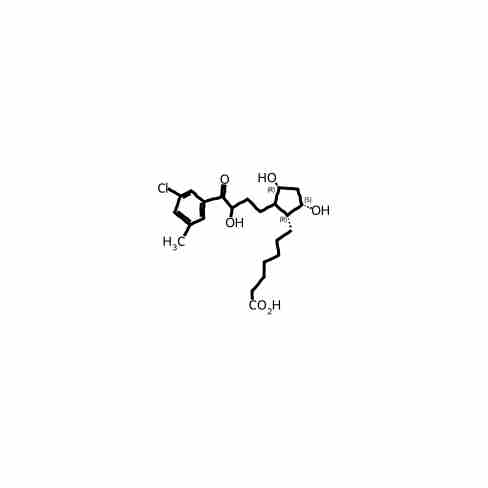 Cc1cc(Cl)cc(C(=O)C(O)CCC2[C@H](O)C[C@H](O)[C@@H]2CCCCCCC(=O)O)c1